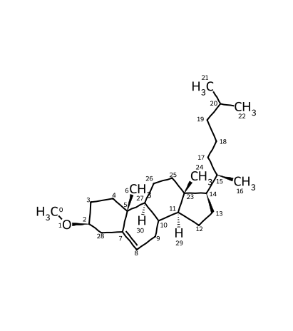 CO[C@H]1CC[C@@]2(C)C(=CCC3[C@@H]4CC[C@H]([C@H](C)CCCC(C)C)[C@@]4(C)CC[C@@H]32)C1